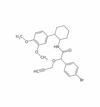 C#CCOC(C(=O)NC1CCCCC1c1ccc(OC)c(OC)c1)c1ccc(Br)cc1